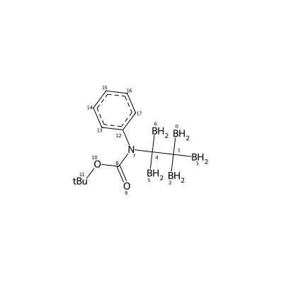 BC(B)(B)C(B)(B)N(C(=O)OC(C)(C)C)c1ccccc1